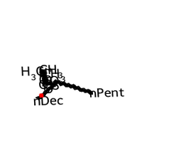 CCCCCC=CCC=CCC=CCC=CCCCC(=O)SC(COCCCCCCCCCCCCCCCC)COP(=O)([O-])OCC[N+](C)(C)C